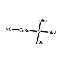 CCCC[N+](CCCC)(CCCC)CCCC.N#C[O-]